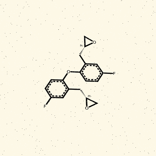 Fc1ccc(Oc2ccc(F)cc2C[C@@H]2CO2)c(C[C@@H]2CO2)c1